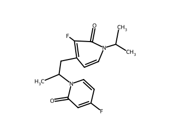 CC(C)n1ccc(CC(C)n2ccc(F)cc2=O)c(F)c1=O